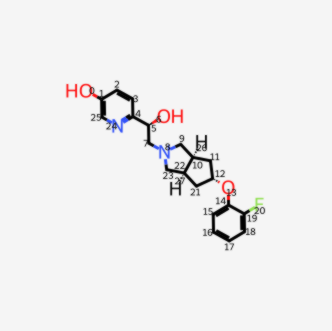 Oc1ccc([C@@H](O)CN2C[C@H]3C[C@H](Oc4ccccc4F)C[C@H]3C2)nc1